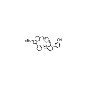 CCCCn1cc(-c2cccc(C#N)c2)c2cc(CN3CCN(Cc4c(Cl)cccc4-c4cccc(C#N)c4)CC3)ccc21